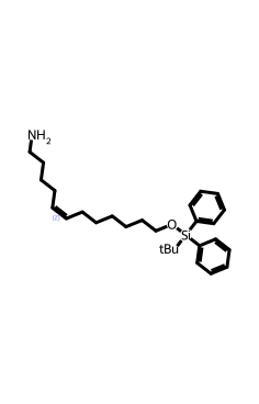 CC(C)(C)[Si](OCCCCCC/C=C\CCCCN)(c1ccccc1)c1ccccc1